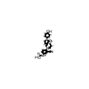 N#Cc1cc(NC(=O)O)ccc1N1CCC[C@@]2(CCN(C3CCC(O)CC3)C2=O)C1